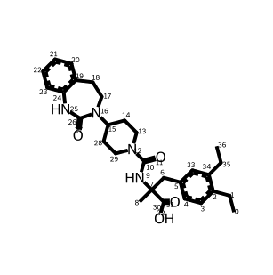 CCc1ccc(CC(C)(NC(=O)N2CCC(N3CCc4ccccc4NC3=O)CC2)C(=O)O)cc1CC